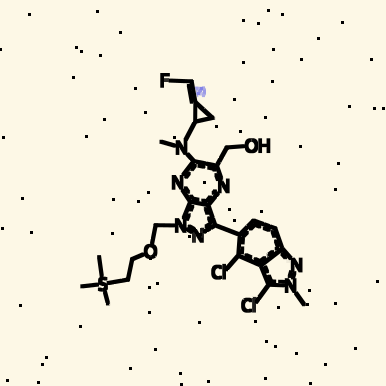 CN(c1nc2c(nc1CO)c(-c1ccc3nn(C)c(Cl)c3c1Cl)nn2COCCS(C)(C)C)C1C/C1=C/F